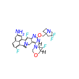 C#Cc1c(F)ccc2cc(N)cc(-c3ncc4c(N5CCOC[C@H]6[C@H](F)[C@H]65)nc(OCC56CCN5CC(F)(F)C6)nc4c3F)c12